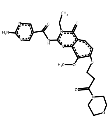 CCn1c(NC(=O)c2cnc(N)nc2)nc2c(OC)c(OCCC(=O)N3CCOCC3)ccc2c1=O